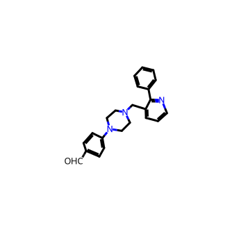 O=Cc1ccc(N2CCN(Cc3cccnc3-c3ccccc3)CC2)cc1